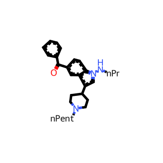 CCCCCN1CCC(c2cn(NCCC)c3ccc(C(=O)c4ccccc4)cc23)CC1